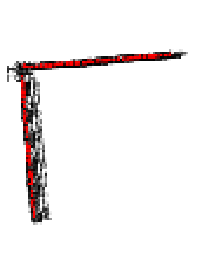 O=P(O)(O)O.O=P(O)(O)O.[Ca+2].[Ca+2].[Ca+2].[Ca+2].[Ca+2].[Ca+2].[Ca+2].[Ca+2].[Ca+2].[Ca+2].[Ca+2].[Ca+2].[Ca+2].[Ca+2].[Ca+2].[Ca+2].[Ca+2].[Ca+2].[Ca+2].[Ca+2].[Ca+2].[Ca+2].[Ca+2].[Ca+2].[Ca+2].[Ca+2].[Ca+2].[Ca+2].[Ca+2].[Ca+2].[Ca+2].[Ca+2].[Ca+2].[Ca+2].[Ca+2].[Ca+2].[Ca+2].[Ca+2].[Ca+2].[Ca+2].[Ca+2].[Ca+2].[Ca+2].[Ca+2].[Ca+2].[Ca+2].[Ca+2].[Ca+2].[Ca+2].[Ca+2].[Ca+2].[Ca+2].[Ca+2].[Ca+2].[Ca+2].[Ca+2].[Ca+2].[Ca+2].[Ca+2].[Ca+2].[Ca+2].[Ca+2].[Ca+2].[Ca+2].[Ca+2].[Ca+2].[Ca+2].[Ca+2].[Ca+2].[Ca+2].[Ca+2].[Ca+2].[Ca+2].[Ca+2].[Ca+2].[Ca+2].[Ca+2].[Ca+2].[Ca+2].[Ca+2].[Ca+2].[Ca+2].[Ca+2].[Ca+2].[Ca+2].[Ca+2].[Ca+2].[Ca+2].[Ca+2].[Ca+2].[Ca+2].[Ca+2].[Ca+2].[Ca+2].[Ca+2].[Ca+2].[Ca+2].[Ca+2].[Ca+2].[Ca+2].[Ca+2].[Ca+2].[Ca+2].[Ca+2].[Ca+2].[Ca+2].[Ca+2].[Ca+2].[Ca+2].[Ca+2].[Ca+2].[Ca+2].[Ca+2].[Ca+2].[Ca+2].[Ca+2].[Ca+2].[Ca+2].[Ca+2].[Ca+2].[Ca+2].[Ca+2].[Ca+2].[Ca+2].[Ca+2].[Ca+2].[Ca+2].[Ca+2].[Ca+2].[Ca+2].[Ca+2].[Ca+2].[Ca+2].[Ca+2].[Ca+2]